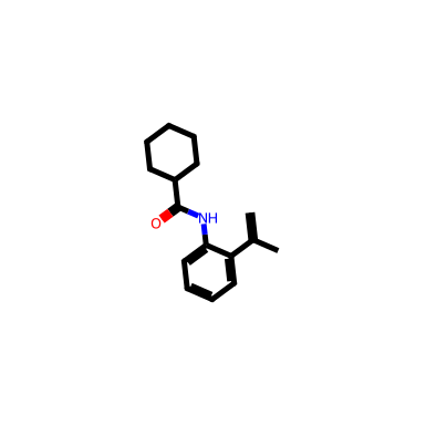 C=C(C)c1ccccc1NC(=O)C1CCCCC1